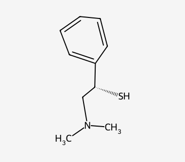 CN(C)C[C@@H](S)c1ccccc1